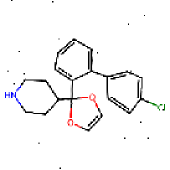 Clc1ccc(-c2ccccc2C2(C3CCNCC3)OC=CO2)cc1